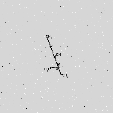 CC/C=C\CCCCOC(CCC(=O)OCCCCCCN(CCO)CCCCCCCCCC(=O)OCCCCCCCCC)OCCCC/C=C\CC